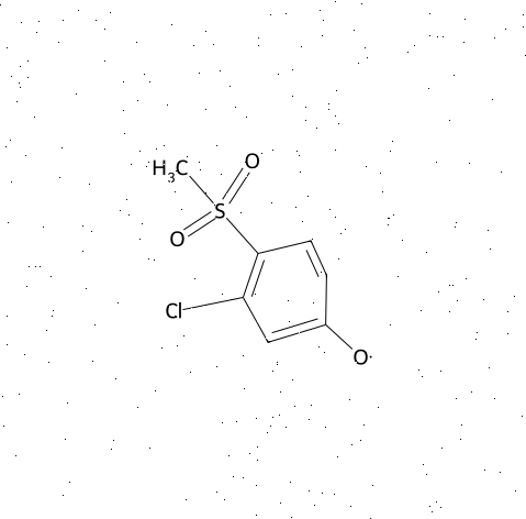 CS(=O)(=O)c1ccc([O])cc1Cl